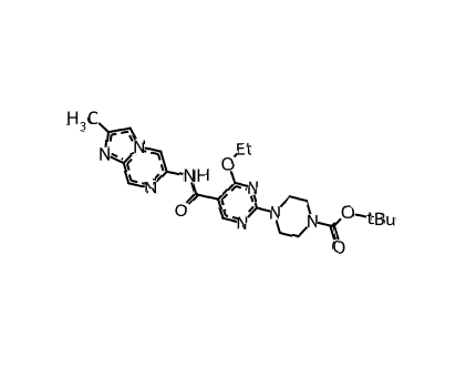 CCOc1nc(N2CCN(C(=O)OC(C)(C)C)CC2)ncc1C(=O)Nc1cn2cc(C)nc2cn1